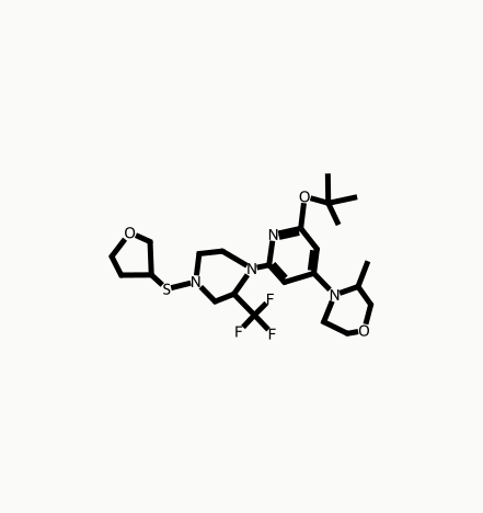 CC1COCCN1c1cc(OC(C)(C)C)nc(N2CCN(SC3CCOC3)CC2C(F)(F)F)c1